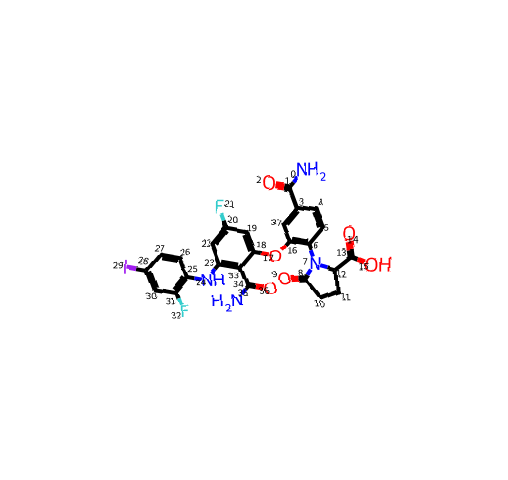 NC(=O)c1ccc(N2C(=O)CCC2C(=O)O)c(Oc2cc(F)cc(Nc3ccc(I)cc3F)c2C(N)=O)c1